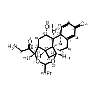 CCCC1O[C@H](C(=O)CN)[C@@]2(C)C[C@H](O)[C@@H]3[C@@]4(CCC5=CC(=O)C=C[C@@]53C)[C@@H](C[C@@H]24)O1